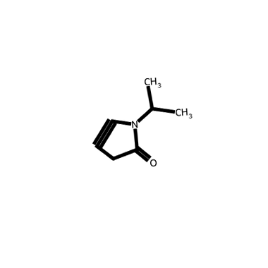 CC(C)N1C#CCC1=O